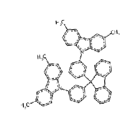 Cc1ccc2c(c1)c1cc(C)ccc1n2-c1cccc(C2(c3cccc(-n4c5ccc(C)cc5c5cc(C)ccc54)c3)c3ccccc3-c3ccccc32)c1